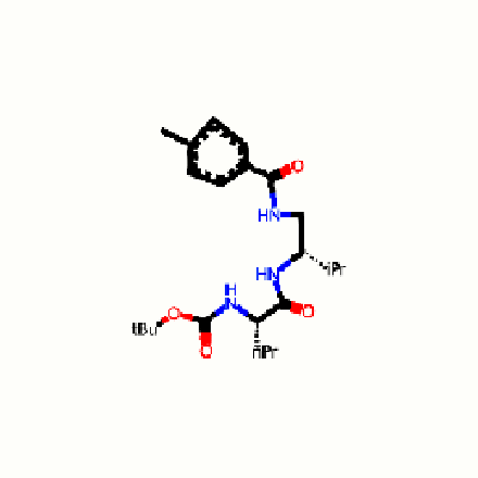 CCC[C@H](NC(=O)OC(C)(C)C)C(=O)N[C@H](CNC(=O)c1ccc(C)cc1)C(C)C